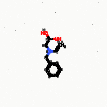 C=CN(Cc1ccccc1)CC(O)O